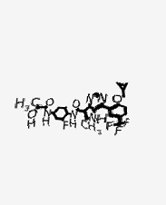 Cc1[nH]c2c(-c3cc(C(F)(F)F)ccc3OCC3CC3)ncnc2c1C(=O)NC1CCC(NC(=O)[C@H](C)O)CC1F